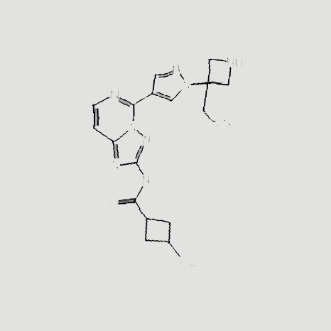 N#CCC1(n2cc(-c3nccc4nc(NC(=O)C5CC(O)C5)nn34)cn2)CNC1